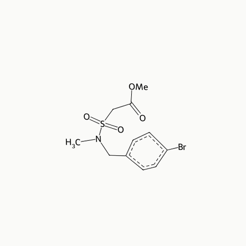 COC(=O)CS(=O)(=O)N(C)Cc1ccc(Br)cc1